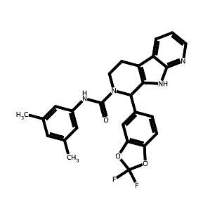 Cc1cc(C)cc(NC(=O)N2CCc3c([nH]c4ncccc34)C2c2ccc3c(c2)OC(F)(F)O3)c1